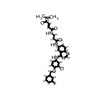 CN(C)C(=O)C=CC(=O)NCCC(=O)Nc1ccc2ncnc(Nc3ccc(OCc4cccc(F)c4)c(Cl)c3)c2c1